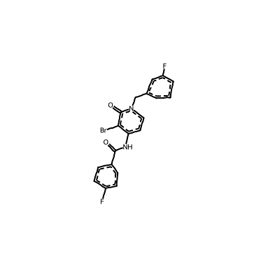 O=C(Nc1ccn(Cc2cccc(F)c2)c(=O)c1Br)c1ccc(F)cc1